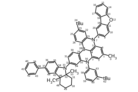 Cc1cc2c3c(c1)N(c1ccc4oc5ccccc5c4c1)c1cc(C(C)(C)C)ccc1B3c1ccc(N3c4ccc(-c5ccccc5)cc4C4(C)CCCCC34C)cc1N2c1cccc(C(C)(C)C)c1